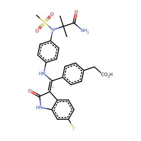 CC(C)(C(N)=O)N(c1ccc(N/C(=C2\C(=O)Nc3cc(F)ccc32)c2ccc(CC(=O)O)cc2)cc1)S(C)(=O)=O